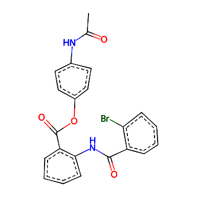 CC(=O)Nc1ccc(OC(=O)c2ccccc2NC(=O)c2ccccc2Br)cc1